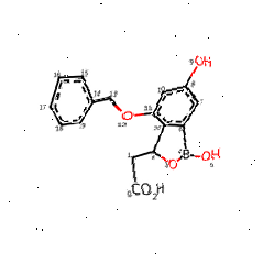 O=C(O)CC1OB(O)c2cc(O)cc(OCc3ccccc3)c21